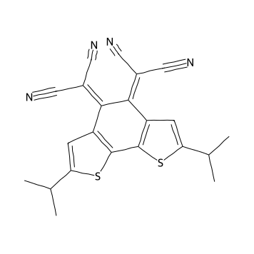 CC(C)c1cc2c(=C(C#N)C#N)c(=C(C#N)C#N)c3cc(C(C)C)sc3c2s1